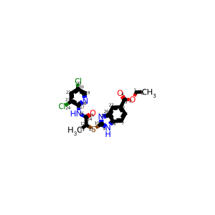 CCOC(=O)c1ccc2[nH]c(SC(C)C(=O)Nc3ncc(Cl)cc3Cl)nc2c1